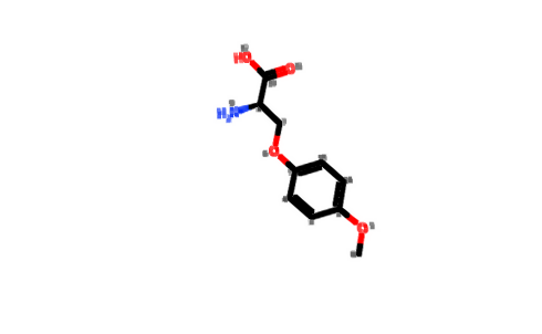 COc1ccc(OC[C@@H](N)C(=O)O)cc1